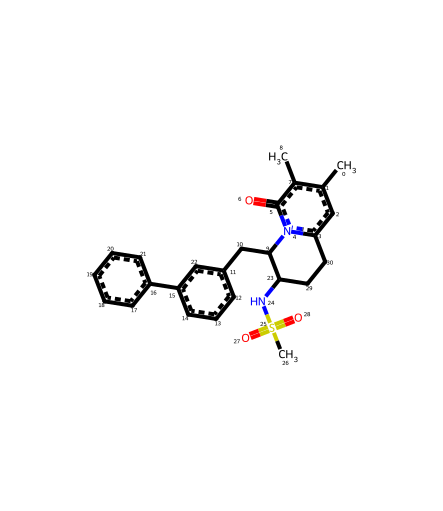 Cc1cc2n(c(=O)c1C)C(Cc1cccc(-c3ccccc3)c1)C(NS(C)(=O)=O)CC2